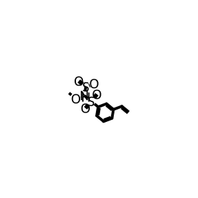 C=Cc1cccc(S(=O)(=O)N(OC)[SH](=O)=O)c1